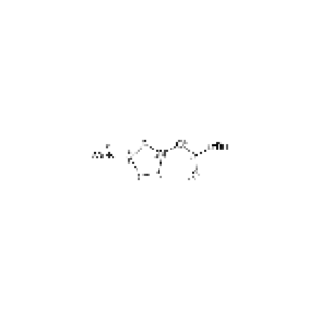 CN[C@H]1CCN(OC(=O)C(C)(C)C)C1